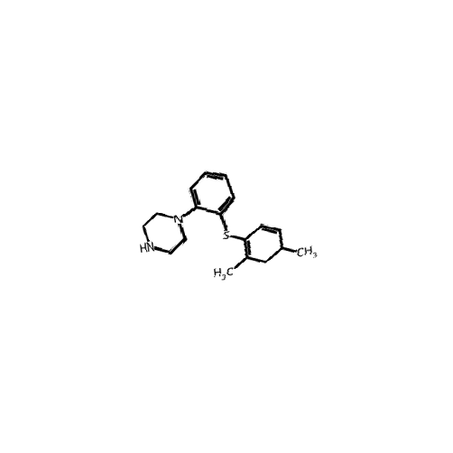 CC1=C(Sc2ccccc2N2CCNCC2)C=CC(C)C1